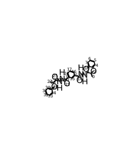 CC(Oc1ccccc1)C(=O)NNC(=O)c1cccc(C(=O)NNC(=O)C(C)Oc2ccccc2)c1